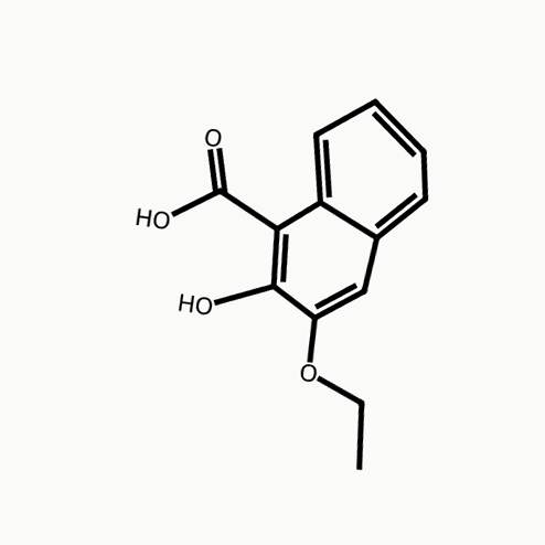 CCOc1cc2ccccc2c(C(=O)O)c1O